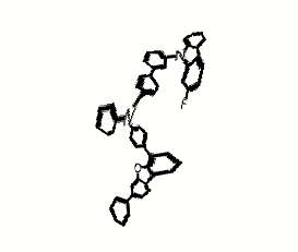 Fc1ccc2c3ccccc3n(-c3cccc(-c4ccc(N(c5ccccc5)c5ccc(-c6cccc7c6oc6cc(-c8ccccc8)ccc67)cc5)cc4)c3)c2c1